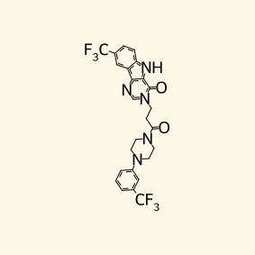 O=C(CCn1cnc2c([nH]c3ccc(C(F)(F)F)cc32)c1=O)N1CCN(c2cccc(C(F)(F)F)c2)CC1